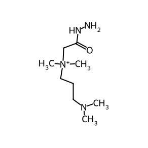 CN(C)CCC[N+](C)(C)CC(=O)NN